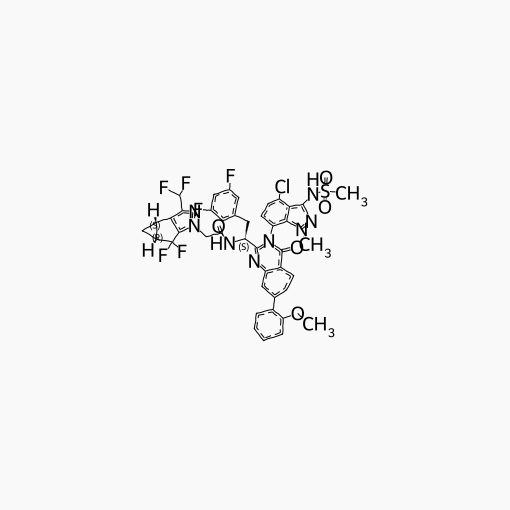 COc1ccccc1-c1ccc2c(=O)n(-c3ccc(Cl)c4c(NS(C)(=O)=O)nn(C)c34)c([C@H](Cc3cc(F)cc(F)c3)NC(=O)Cn3nc(C(F)F)c4c3C(F)(F)[C@@H]3C[C@H]43)nc2c1